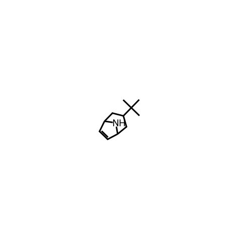 CC(C)(C)C1CC2C=CC(C1)N2